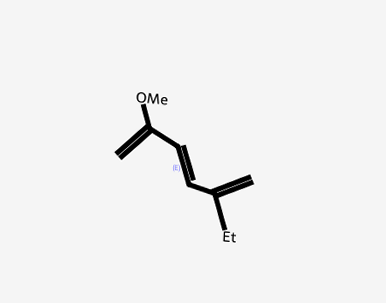 C=C(/C=C/C(=C)OC)CC